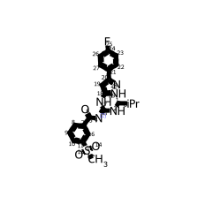 CC(C)CN/C(=N/C(=O)c1cccc(S(C)(=O)=O)c1)Nc1cc(-c2ccc(F)cc2)n[nH]1